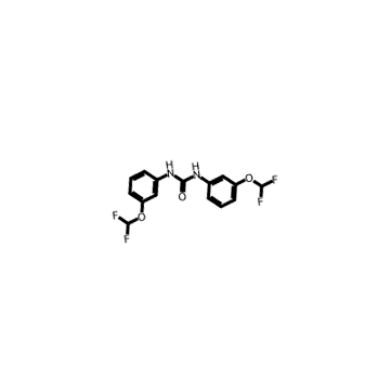 O=C(Nc1cccc(OC(F)F)c1)Nc1cccc(OC(F)F)c1